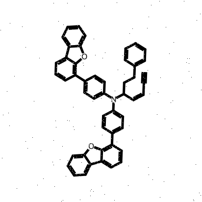 C#C/C=C\C(CCc1ccccc1)N(c1ccc(-c2cccc3c2oc2ccccc23)cc1)c1ccc(-c2cccc3c2oc2ccccc23)cc1